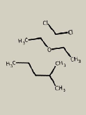 CCCC(C)C.CCOCC.ClCCl